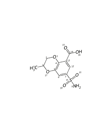 CC1COc2c(cc(S(N)(=O)=O)cc2C(=O)O)O1